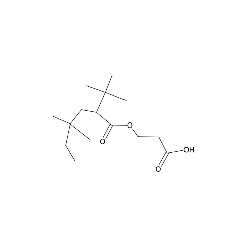 CCC(C)(C)CC(C(=O)OCCC(=O)O)C(C)(C)C